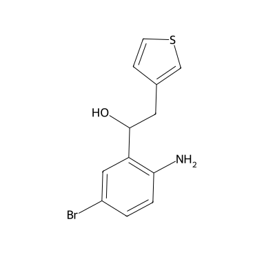 Nc1ccc(Br)cc1C(O)Cc1ccsc1